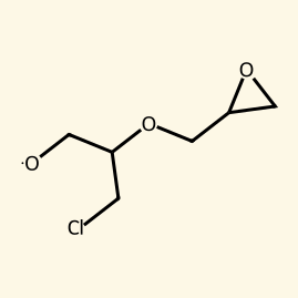 [O]CC(CCl)OCC1CO1